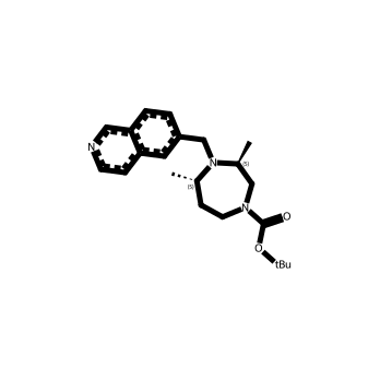 C[C@H]1CCN(C(=O)OC(C)(C)C)C[C@H](C)N1Cc1ccc2cnccc2c1